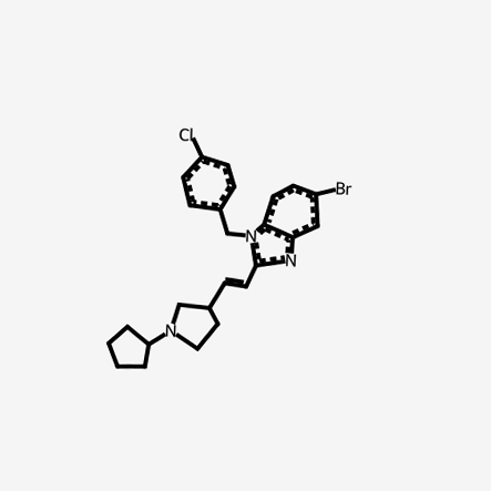 Clc1ccc(Cn2c(/C=C/C3CCN(C4CCCC4)C3)nc3cc(Br)ccc32)cc1